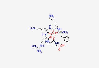 C[C@H](NC(=O)[C@H](CCCNC(=N)N)NC(=O)[C@H](CCCCN)NC(=O)[C@H](CCCCN)NC(=O)[C@@H](N)Cc1ccccc1)C(=O)NCC(=O)O